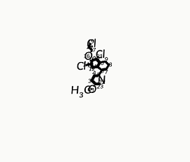 COc1ccc(C2=CCCc3c2cc(Cl)c(OCCCl)c3Cl)nc1